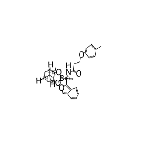 Cc1ccc(OCCC(=O)N[C@@](C)(B2O[C@@H]3C[C@@H]4C[C@@H](C4(C)C)[C@]3(C)O2)c2occ3ccccc23)cc1